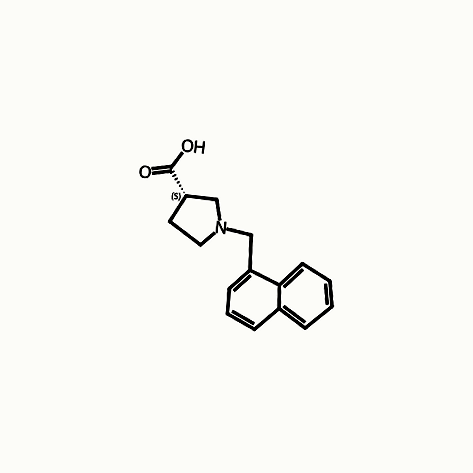 O=C(O)[C@H]1CCN(Cc2cccc3ccccc23)C1